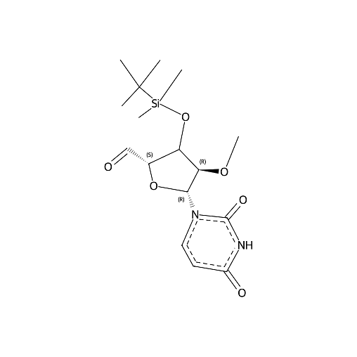 CO[C@@H]1C(O[Si](C)(C)C(C)(C)C)[C@@H](C=O)O[C@H]1n1ccc(=O)[nH]c1=O